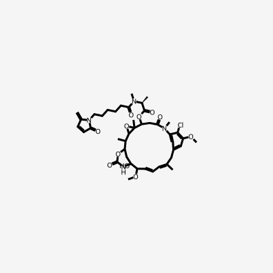 C=C1C=CC(=O)N1CCCCCC(=O)N(C)[C@@H](C)C(=O)OC1CC(=O)N(C)c2cc(cc(OC)c2Cl)C/C(C)=C/C=C/C(OC)C2(O)CC(OC(=O)N2)C(C)C2OC12C